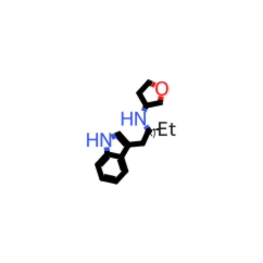 CC[C@H](Cc1c[nH]c2ccccc12)NC1CCOC1